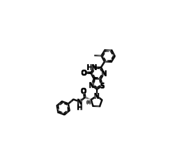 Cc1ccccc1-c1nc2sc(N3CCC[C@@H]3C(=O)NCc3ccccc3)nc2c(=O)[nH]1